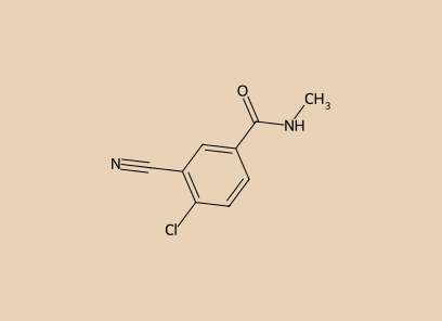 CNC(=O)c1ccc(Cl)c(C#N)c1